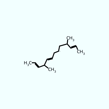 CC=CC(C)C=CC[CH]CC(C)C=CC